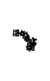 OC(O)c1ccc2c(c1)Oc1cnc(OCc3c(-c4c(Cl)cccc4Cl)noc3C3CC3)nc1CC2